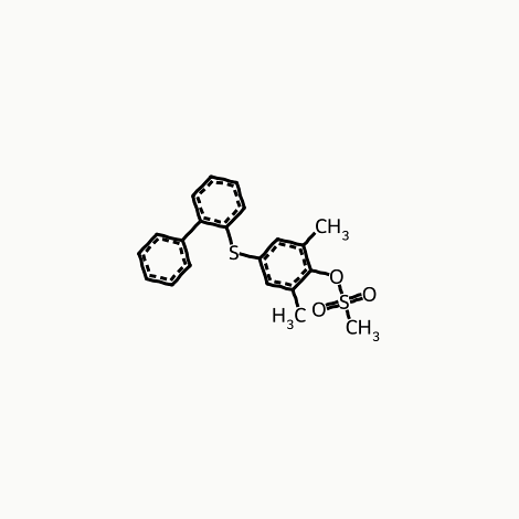 Cc1cc(Sc2ccccc2-c2ccccc2)cc(C)c1OS(C)(=O)=O